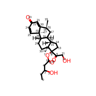 CCC(O)CC(=O)O[C@]1(C(=O)CO)CC[C@H]2[C@@H]3C[C@H](C)C4=CC(=O)C=C[C@]4(C)[C@H]3CC[C@@]21C